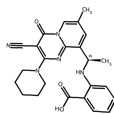 Cc1cc([C@@H](C)Nc2ccccc2C(=O)O)c2nc(N3CCCCC3)c(C#N)c(=O)n2c1